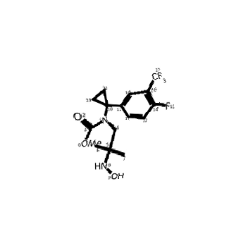 COC(=O)N(CC(C)(C)NO)C1(c2ccc(F)c(C(F)(F)F)c2)CC1